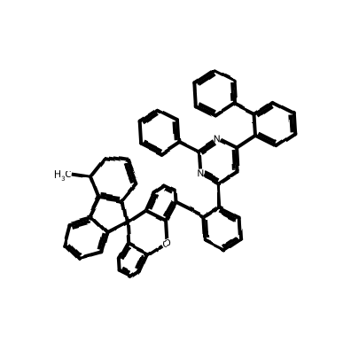 CC1CC=CC2=C1c1ccccc1C21c2ccccc2Oc2c(-c3ccccc3-c3cc(-c4ccccc4-c4ccccc4)nc(-c4ccccc4)n3)cccc21